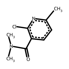 Cc1ccc(C(=O)N(C)C)c(Cl)n1